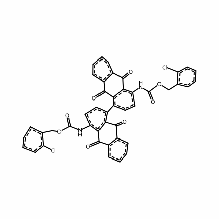 O=C(Nc1ccc(-c2ccc(NC(=O)OCc3ccccc3Cl)c3c2C(=O)c2ccccc2C3=O)c2c1C(=O)c1ccccc1C2=O)OCc1ccccc1Cl